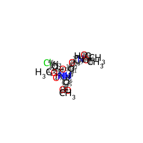 CCOC(=O)C(NCc1cc(C(=O)OC)ccc1NCc1ccc(OC2CCN(C(=O)OC(C)(C)C)CC2)cc1)C(=O)c1ccc(Cl)cc1